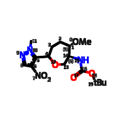 CO[C@H]1CCC(c2c([N+](=O)[O-])cnn2C)OC[C@@H]1NC(=O)OC(C)(C)C